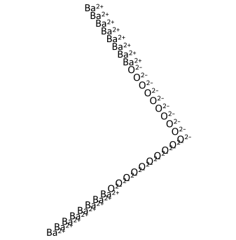 [Ba+2].[Ba+2].[Ba+2].[Ba+2].[Ba+2].[Ba+2].[Ba+2].[Ba+2].[Ba+2].[Ba+2].[Ba+2].[Ba+2].[Ba+2].[Ba+2].[Ba+2].[Ba+2].[O-2].[O-2].[O-2].[O-2].[O-2].[O-2].[O-2].[O-2].[O-2].[O-2].[O-2].[O-2].[O-2].[O-2].[O-2].[O-2].[O-2].[O-2].[O-2]